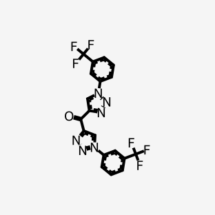 O=C(c1cn(-c2cccc(C(F)(F)F)c2)nn1)c1cn(-c2cccc(C(F)(F)F)c2)nn1